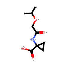 CC(C)OCC(=O)NC1(C(=O)O)CC1